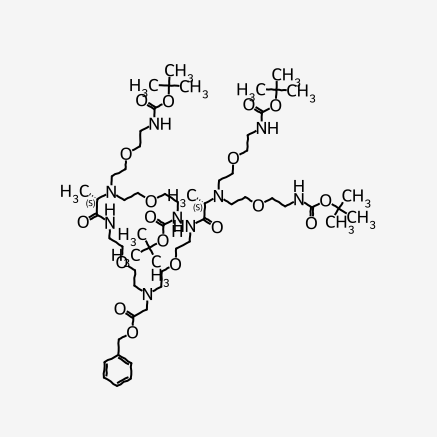 C[C@@H](C(=O)NCCOCCN(CCOCCNC(=O)[C@H](C)N(CCOCCNC(=O)OC(C)(C)C)CCOCCNC(=O)OC(C)(C)C)CC(=O)OCc1ccccc1)N(CCOCCNC(=O)OC(C)(C)C)CCOCCNC(=O)OC(C)(C)C